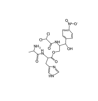 CC(N)C(=O)NC(Cc1c[nH]cn1)C(=O)OCC(NC(=O)C(Cl)Cl)C(O)c1ccc([N+](=O)[O-])cc1